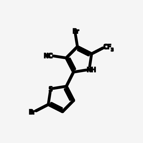 N#Cc1c(-c2ccc(Br)s2)[nH]c(C(F)(F)F)c1Br